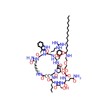 CCCCCCCCCCCCCCCC(=O)NCCOCCOCC(=O)N[C@@H](CCC(N)=O)C(=O)N[C@@H](CO)C(=O)N[C@@H](CCCC)C(=O)N[C@H]1CCC(=O)NCCCC[C@@H](C(N)=O)NC(=O)[C@H](Cc2c[nH]c3ccccc23)NC(=O)[C@H](CCCNC(=N)N)N[C@@H](O)[C@@H](Cc2ccccc2)NC(=O)[C@@H]2C[C@@H](O)CN2C1=O